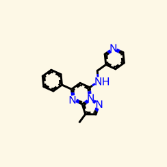 Cc1cnn2c(NCc3cccnc3)cc(-c3ccccc3)nc12